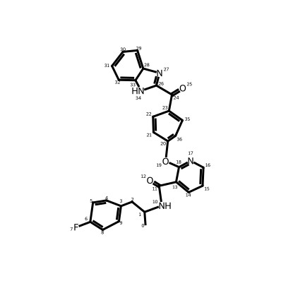 CC(Cc1ccc(F)cc1)NC(=O)c1cccnc1Oc1ccc(C(=O)c2nc3ccccc3[nH]2)cc1